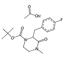 CC(=O)O.CN1CCN(C(=O)OC(C)(C)C)C(Cc2ccc(F)cc2)C1=O